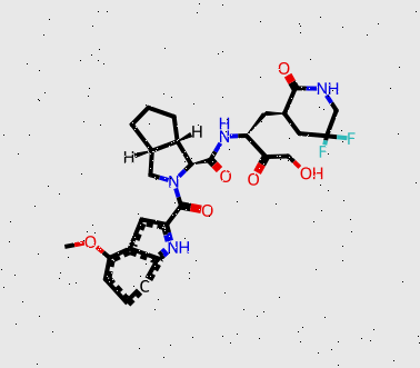 COc1cccc2[nH]c(C(=O)N3C[C@@H]4CCC[C@@H]4[C@H]3C(=O)N[C@@H](C[C@@H]3CC(F)(F)CNC3=O)C(=O)CO)cc12